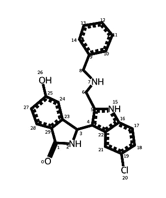 O=C1NC(c2c(CNCc3ccccc3)[nH]c3ccc(Cl)cc23)c2cc(O)ccc21